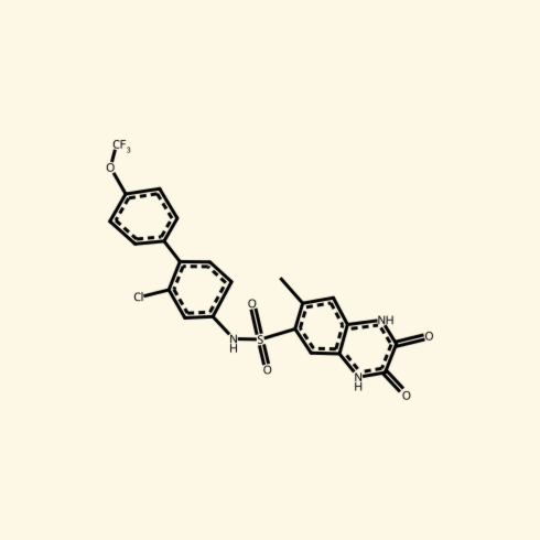 Cc1cc2[nH]c(=O)c(=O)[nH]c2cc1S(=O)(=O)Nc1ccc(-c2ccc(OC(F)(F)F)cc2)c(Cl)c1